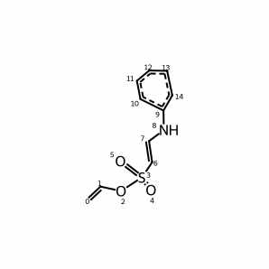 C=COS(=O)(=O)C=CNc1ccccc1